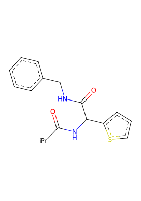 CC(C)C(=O)NC(C(=O)NCc1ccccc1)c1cccs1